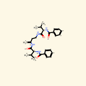 C=C(CCNC(=O)[C@@H](NC(=O)c1ccccc1)C(C)C)NC(=O)[C@@H](NC(=O)c1ccccc1)C(C)C